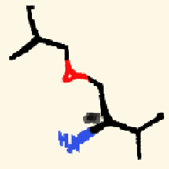 [CH2]C(C)COC[C@H](N)C(C)C